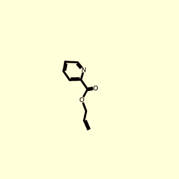 C=CCOC(=O)c1ccccn1